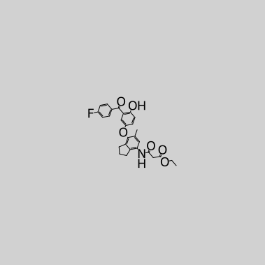 CCOC(=O)CC(=O)Nc1cc(C)c(Oc2ccc(O)c(C(=O)c3ccc(F)cc3)c2)c2c1CCC2